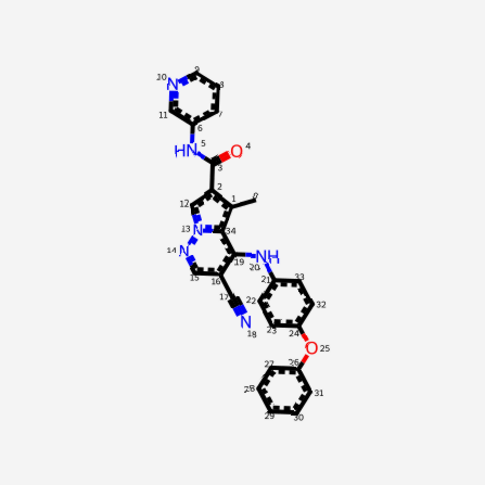 Cc1c(C(=O)Nc2cccnc2)cn2ncc(C#N)c(Nc3ccc(Oc4ccccc4)cc3)c12